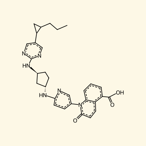 CCCC1CC1c1cnc(N[C@H]2CC[C@H](Nc3ccc(-n4c(=O)ccc5c(C(=O)O)cccc54)cn3)C2)nc1